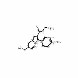 CCOC(=O)c1cc2cc(CO)ccn2c1-c1ccc(F)nc1